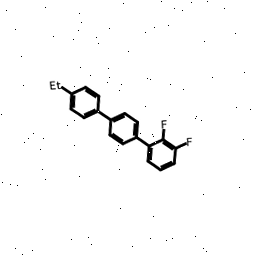 CCc1ccc(-c2ccc(-c3cccc(F)c3F)cc2)cc1